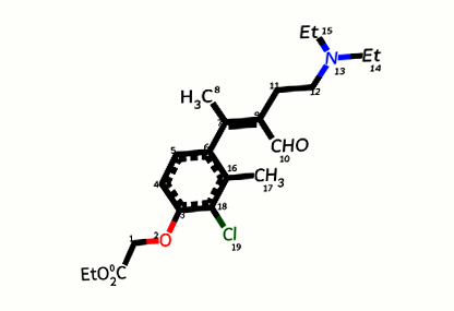 CCOC(=O)COc1ccc(/C(C)=C(\C=O)CCN(CC)CC)c(C)c1Cl